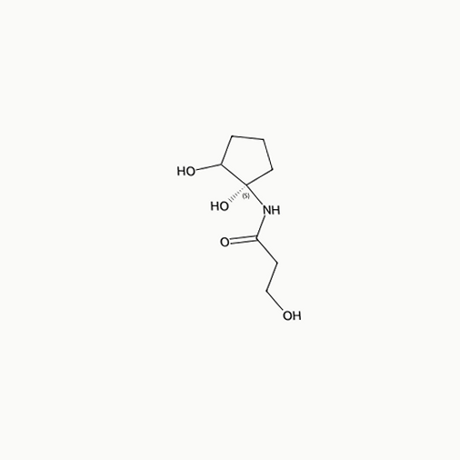 O=C(CCO)N[C@]1(O)CCCC1O